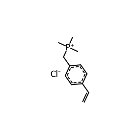 C=Cc1ccc(C[P+](C)(C)C)cc1.[Cl-]